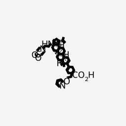 C=C(C)[C@@H]1CC[C@]2(NCCN3CCS(=O)(=O)CC3)CC[C@]3(C)[C@H](CC[C@@H]4[C@@]5(C)CC=C(C6=CCC(CCOc7ccccn7)(C(=O)O)CC6)C(C)(C)[C@@H]5CC[C@]43C)[C@@H]12